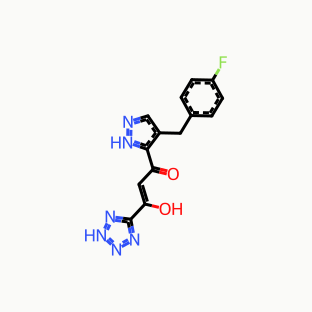 O=C(C=C(O)c1nn[nH]n1)c1[nH]ncc1Cc1ccc(F)cc1